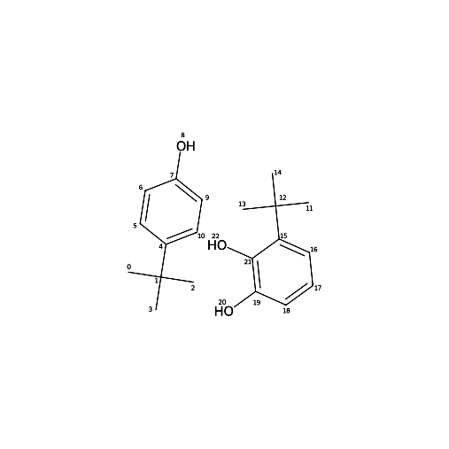 CC(C)(C)c1ccc(O)cc1.CC(C)(C)c1cccc(O)c1O